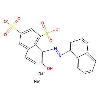 O=S(=O)([O-])c1cc(S(=O)(=O)[O-])c2c(N=Nc3cccc4ccccc34)c(O)ccc2c1.[Na+].[Na+]